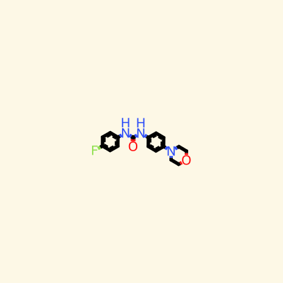 O=C(Nc1ccc(F)cc1)Nc1ccc(N2CCOCC2)cc1